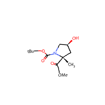 COC(=O)[C@@]1(C)C[C@H](O)CN1C(=O)OC(C)(C)C